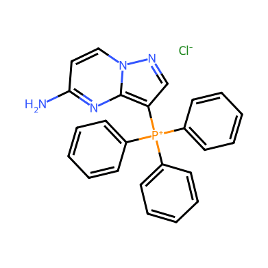 Nc1ccn2ncc([P+](c3ccccc3)(c3ccccc3)c3ccccc3)c2n1.[Cl-]